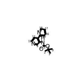 CC(C)(C)OC(=O)Nc1cnccc1-c1ccccn1